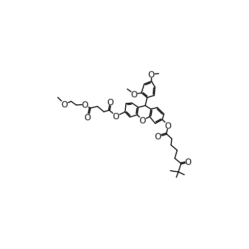 COCCOC(=O)CCC(=O)Oc1ccc2c(c1)Oc1cc(OC(=O)CCCCC(=O)C(C)(C)C)ccc1C2c1ccc(OC)cc1OC